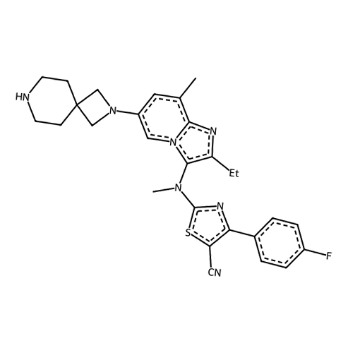 CCc1nc2c(C)cc(N3CC4(CCNCC4)C3)cn2c1N(C)c1nc(-c2ccc(F)cc2)c(C#N)s1